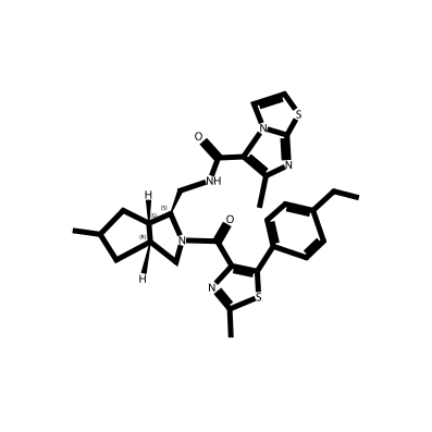 CCc1ccc(-c2sc(C)nc2C(=O)N2C[C@@H]3CC(C)C[C@@H]3[C@H]2CNC(=O)c2c(C)nc3sccn23)cc1